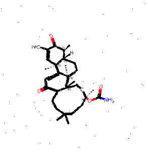 C[C@@H]1C(=O)C(C#N)=C[C@]2(C)C3=CC(=O)C4CCC(C)(C)CC[C@](C)(OC(N)=O)CC[C@@]4(C)[C@]3(C)CC[C@@H]12